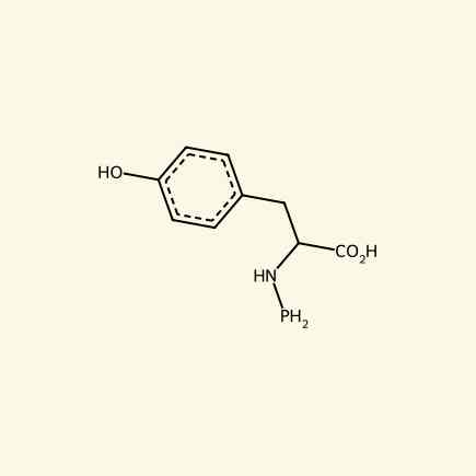 O=C(O)C(Cc1ccc(O)cc1)NP